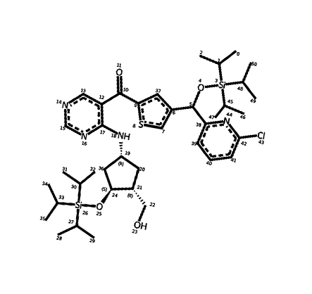 CC(C)[Si](OC(c1csc(C(=O)c2cncnc2N[C@@H]2C[C@H](CO)[C@@H](O[Si](C(C)C)(C(C)C)C(C)C)C2)c1)c1cccc(Cl)n1)(C(C)C)C(C)C